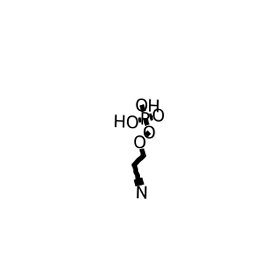 N#CCCOOP(=O)(O)O